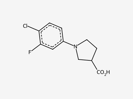 O=C(O)C1CCN(c2ccc(Cl)c(F)c2)C1